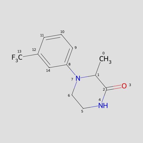 CC1C(=O)NCCN1c1cccc(C(F)(F)F)c1